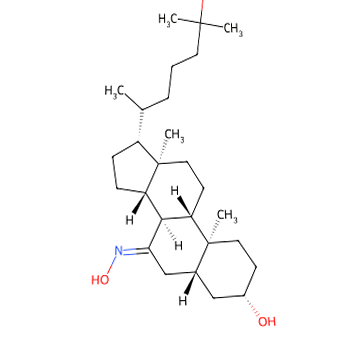 CC(CCCC(C)(C)O)[C@H]1CC[C@H]2[C@@H]3/C(=N/O)C[C@H]4C[C@@H](O)CC[C@]4(C)[C@H]3CC[C@]12C